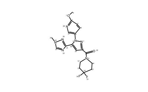 COc1ccc(-n2nc(C(=O)N3CCC(F)(F)CC3)cc2-c2ncn(C)n2)cn1